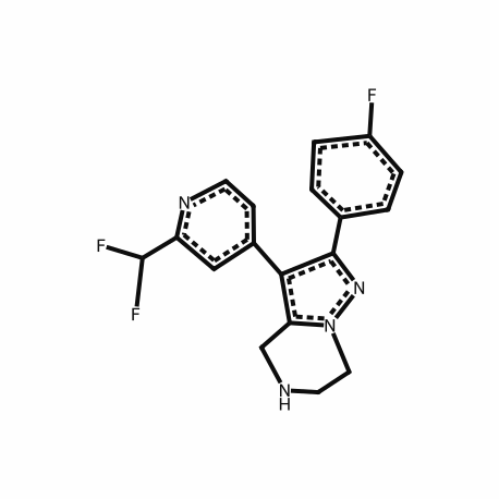 Fc1ccc(-c2nn3c(c2-c2ccnc(C(F)F)c2)CNCC3)cc1